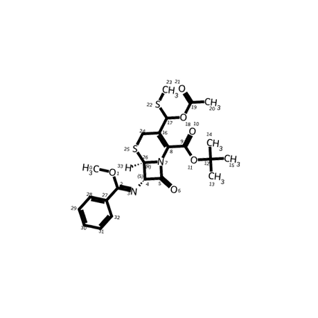 COC(=N[C@H]1C(=O)N2C(C(=O)OC(C)(C)C)=C(C(OC(C)=O)SC)CS[C@H]12)c1ccccc1